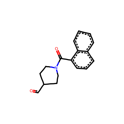 O=CC1CCN(C(=O)c2cccc3ccccc23)CC1